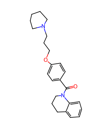 O=C(c1ccc(OCCCN2CCCCC2)cc1)N1CCCc2ccccc21